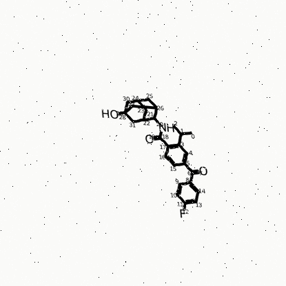 CC(C)c1cc(C(=O)c2ccc(F)cc2)ccc1C(=O)NC1C2CC3CC1CC(O)(C3)C2